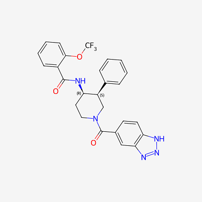 O=C(N[C@@H]1CCN(C(=O)c2ccc3[nH]nnc3c2)C[C@@H]1c1ccccc1)c1ccccc1OC(F)(F)F